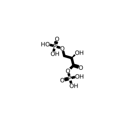 O=C(OP(=O)(O)O)[C@H](O)COP(=O)(O)O